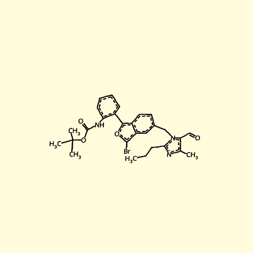 CCCc1nc(C)c(C=O)n1Cc1ccc2c(-c3ccccc3NC(=O)OC(C)(C)C)oc(Br)c2c1